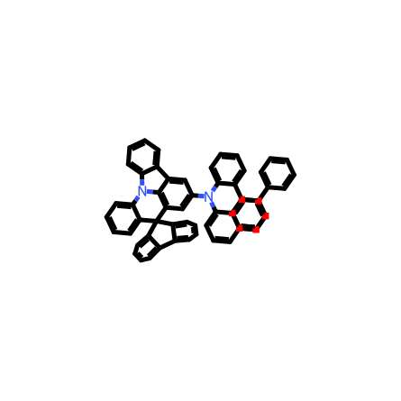 c1ccc(-c2ccccc2-c2ccccc2N(c2cc3c4c(c2)c2ccccc2n4-c2ccccc2C32c3ccccc3-c3ccccc32)c2cccc3ccccc23)cc1